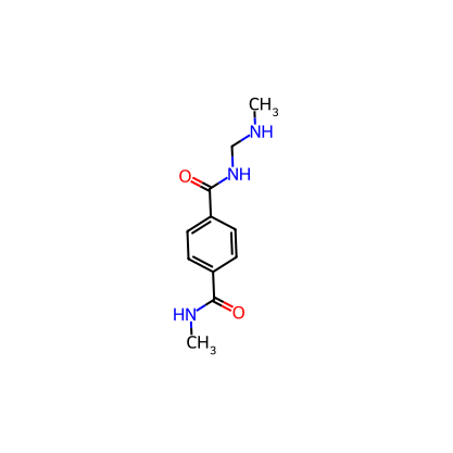 CNCNC(=O)c1ccc(C(=O)NC)cc1